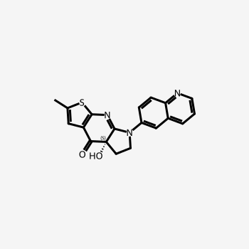 Cc1cc2c(s1)N=C1N(c3ccc4ncccc4c3)CC[C@@]1(O)C2=O